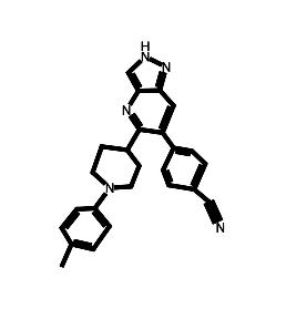 Cc1ccc(N2CCC(c3nc4c[nH]nc4cc3-c3ccc(C#N)cc3)CC2)cc1